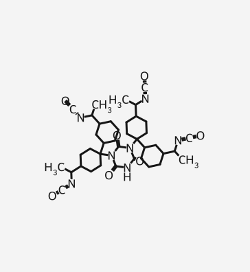 CC(N=C=O)C1CCC(C2CCCC(C(C)N=C=O)C2)(n2c(=O)[nH]c(=O)n(C3(C4CCCC(C(C)N=C=O)C4)CCC(C(C)N=C=O)CC3)c2=O)CC1